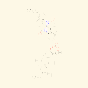 COc1ccc(N2C(=O)c3ccccc3C23c2ccccc2C(=O)N3c2ccc(OC(=O)Oc3ccc(C(C)(C)c4ccc(OC(C)=O)c(C)c4)cc3C)cc2)cc1